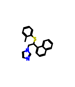 Cc1ccccc1SC(Cn1ccnc1)c1cccc2ccccc12